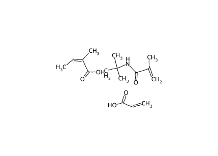 C=C(C)C(=O)NC(C)(C)C.C=CC(=O)O.CC=C(C)C(=O)O